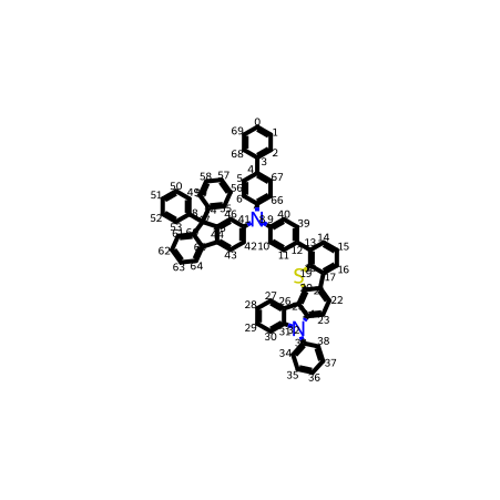 c1ccc(-c2ccc(N(c3ccc(-c4cccc5c4sc4c5ccc5c4c4ccccc4n5-c4ccccc4)cc3)c3ccc4c(c3)C(c3ccccc3)(c3ccccc3)c3ccccc3-4)cc2)cc1